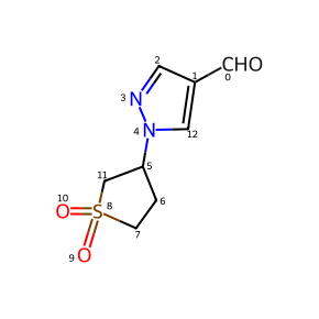 O=Cc1cnn(C2CCS(=O)(=O)C2)c1